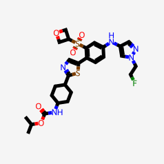 CC(C)OC(=O)NC1CCC(c2ncc(-c3ccc(Nc4cnn(CCF)c4)cc3S(=O)(=O)C3COC3)s2)CC1